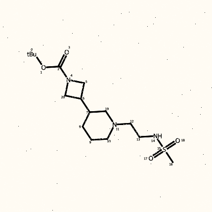 CC(C)(C)OC(=O)N1CC(C2CCCN(CCNS(C)(=O)=O)C2)C1